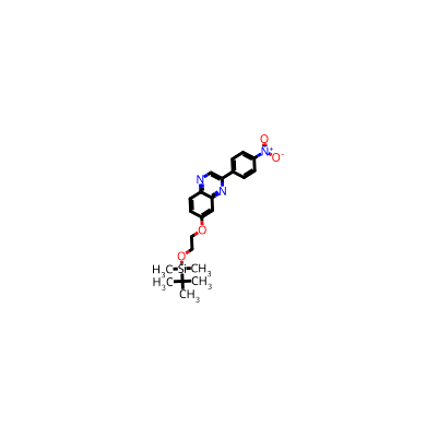 CC(C)(C)[Si](C)(C)OCCOc1ccc2ncc(-c3ccc([N+](=O)[O-])cc3)nc2c1